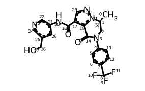 C[C@H]1CN(c2ccc(C(F)(F)F)cc2)C(=O)c2c(C(=O)Nc3cncc(CO)c3)cnn21